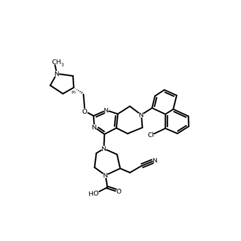 CN1CC[C@@H](COc2nc3c(c(N4CCN(C(=O)O)C(CC#N)C4)n2)CCN(c2cccc4cccc(Cl)c24)C3)C1